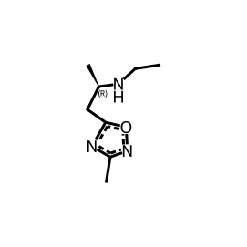 CCN[C@H](C)Cc1nc(C)no1